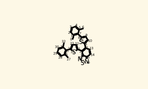 Cc1cccc(C)c1-c1ccc(-c2ccc3nsnc3c2-c2ccc(-c3c(C)cccc3C)s2)s1